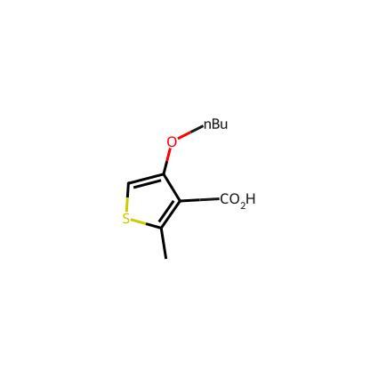 CCCCOc1csc(C)c1C(=O)O